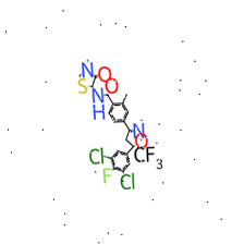 Cc1cc(C2=NOC(c3cc(Cl)c(F)c(Cl)c3)(C(F)(F)F)C2)ccc1C(=O)NC1SCN(C)C1=O